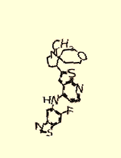 CN1CCC(c2cc3c(Nc4cc5ncsc5cc4F)ccnc3s2)C12CCOCC2